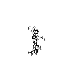 CC1CN(c2cnc3cnn(CC(F)F)c3n2)CC[C@@]12CCN(c1cccc(C(F)(F)F)n1)C2=O